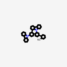 N#Cc1ccccc1-c1cccc(-n2c3ccccc3c3cccc(-c4cccc(-n5c6ccccc6c6ccccc65)c4)c32)c1